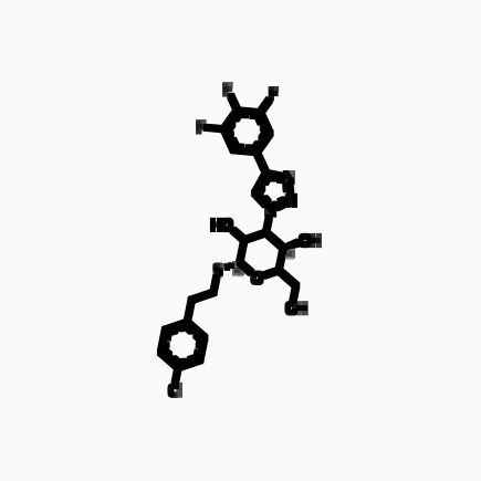 OCC1O[C@H](SCCc2ccc(Cl)cc2)C(O)C(n2cc(-c3cc(F)c(F)c(F)c3)nn2)[C@H]1O